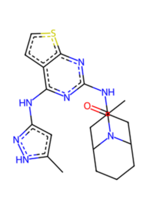 CC(=O)N1C2CCCC1CC(Nc1nc(Nc3cc(C)[nH]n3)c3ccsc3n1)C2